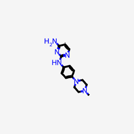 CN1CCN(c2ccc(Nc3nc[c]c(N)n3)cc2)CC1